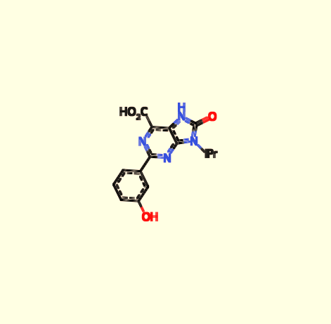 CC(C)n1c(=O)[nH]c2c(C(=O)O)nc(-c3cccc(O)c3)nc21